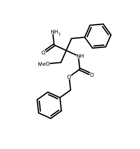 COCC(Cc1ccccc1)(NC(=O)OCc1ccccc1)C(N)=O